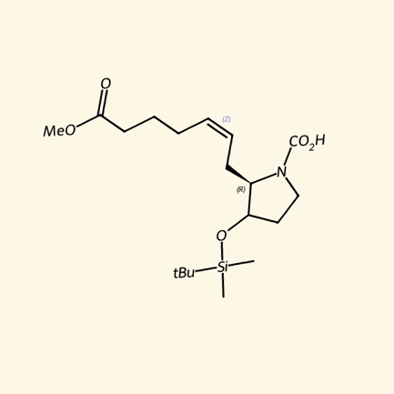 COC(=O)CCC/C=C\C[C@@H]1C(O[Si](C)(C)C(C)(C)C)CCN1C(=O)O